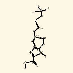 COC(=O)c1nc2c(n1C)CCN(CCCCC(F)(F)F)C2